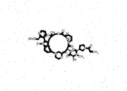 C=CC(=O)N1CC[C@H](C(=O)N(C)[C@H](C(=O)N[C@H]2C[C@]3(C)CN(CCO3)c3ccc4c(c3)c(c(-c3cccnc3COC)n4CC)CC(C)(C)COC(=O)[C@@H]3CCCN(N3)C2=O)C(C)C)C1